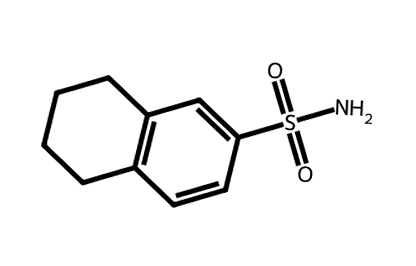 NS(=O)(=O)c1ccc2c(c1)CCCC2